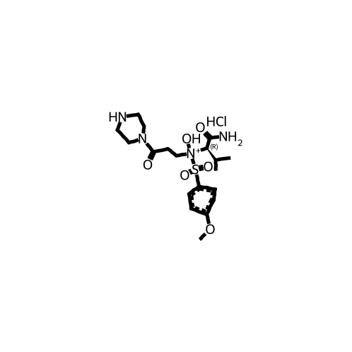 COc1ccc(S(=O)(=O)[N+](O)(CCC(=O)N2CCNCC2)[C@@H](C(N)=O)C(C)C)cc1.Cl